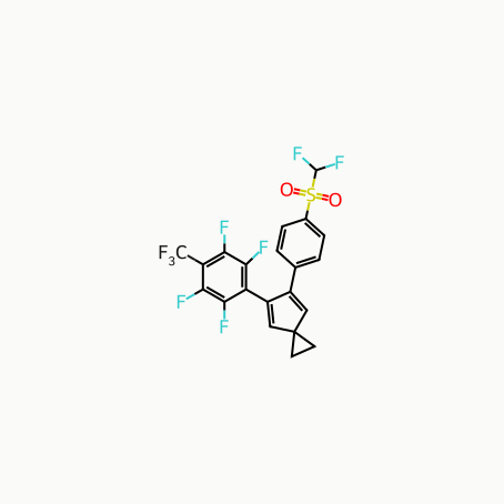 O=S(=O)(c1ccc(C2=CC3(C=C2c2c(F)c(F)c(C(F)(F)F)c(F)c2F)CC3)cc1)C(F)F